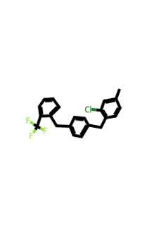 Cc1ccc(Cc2ccc(Cc3ccccc3C(F)(F)F)cc2)c(Cl)c1